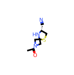 CC(=O)N1CC2(C1)N[C@H](C#N)CS2